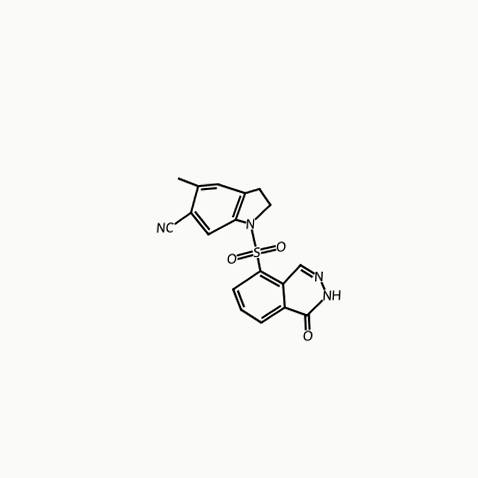 Cc1cc2c(cc1C#N)N(S(=O)(=O)c1cccc3c(=O)[nH]ncc13)CC2